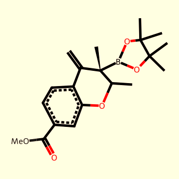 C=C1c2ccc(C(=O)OC)cc2OC(C)[C@@]1(C)B1OC(C)(C)C(C)(C)O1